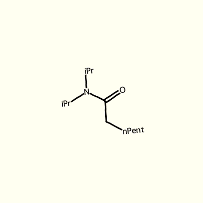 CCCCCCC(=O)N(C(C)C)C(C)C